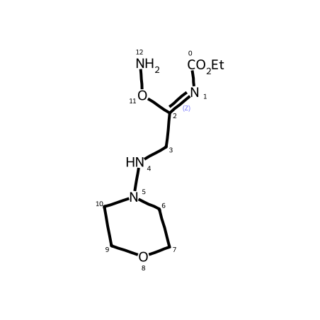 CCOC(=O)/N=C(/CNN1CCOCC1)ON